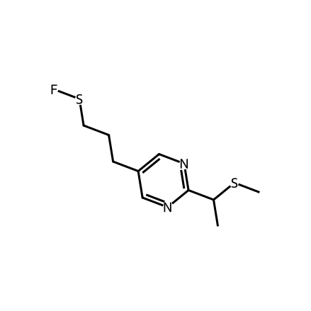 CSC(C)c1ncc(CCCSF)cn1